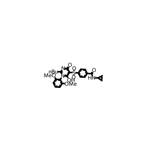 CCCCc1nc(=O)c(S(=O)(=O)c2ccc(C(=O)NC3CC3)cc2)c(O)n1-c1c(OC)cccc1OC